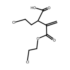 C=C(C(=O)OCCCl)C(CCCl)C(=O)O